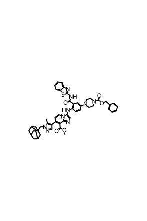 COC(=O)c1c(-c2cnn(CC34CC5CC(CC(C5)C3)C4)c2C)ccn2c(Nc3ccc(N4CCN(C(=O)OCc5ccccc5)CC4)cc3C(=O)Nc3nc4ccccc4s3)cnc12